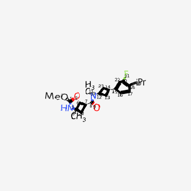 COC(=O)N[C@]1(C)C[C@H](C(=O)N(C)[C@H]2C[C@@H](c3ccc(C(C)C)c(F)c3)C2)C1